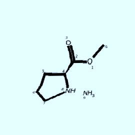 COC(=O)[C@@H]1CCCN1.N